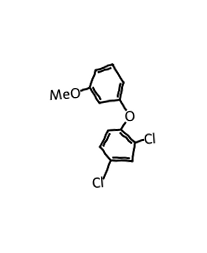 COc1cccc(Oc2ccc(Cl)cc2Cl)c1